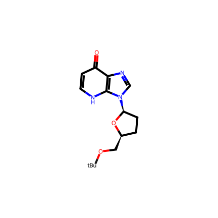 CC(C)(C)OC[C@@H]1CC[C@H](n2cnc3c(=O)cc[nH]c32)O1